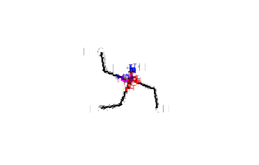 CCCCCCCC/C=C\CCCCCCCC(=O)OCC(COC(=O)CCCCCCC/C=C\CCCCCCCC)(COC(=O)CCCCCCC/C=C\CCCCCCCC)NC(=O)CCN(C)C